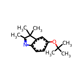 CC1=Nc2ccc(OC(C)(C)C)cc2C1(C)C